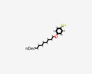 CCCCCCCCCCCCCCCCCCOc1ccc(S)cc1